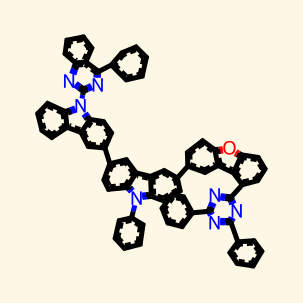 c1ccc(-c2nc(-c3ccccc3)nc(-c3cccc4oc5ccc(-c6ccc7c(c6)c6cc(-c8ccc9c(c8)c8ccccc8n9-c8nc(-c9ccccc9)c9ccccc9n8)ccc6n7-c6ccccc6)cc5c34)n2)cc1